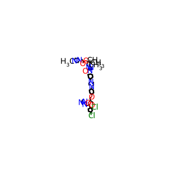 CN1CCN(CC(=O)OC(Cn2ncn(-c3ccc(N4CCN(c5ccc(OCC6COC(Cn7cncn7)(c7ccc(Cl)cc7Cl)O6)cc5)CC4)cc3)c2=O)C(C)(C)C)CC1